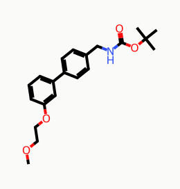 COCCOc1cccc(-c2ccc(CNC(=O)OC(C)(C)C)cc2)c1